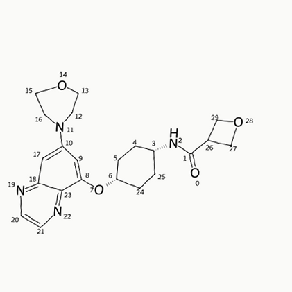 O=C(N[C@H]1CC[C@@H](Oc2cc(N3CCOCC3)cc3nccnc23)CC1)C1COC1